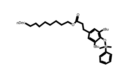 CCCCCCCCCCCCCCCCCCOC(=O)CCc1cc(C(C)(C)C)c(O[Si](C)(C)c2ccccc2)c(C(C)(C)C)c1